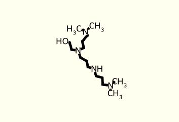 CN(C)CCCNCCCN(CCO)CCCN(C)C